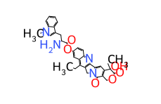 CCc1c2c(nc3ccc(OC(=O)[C@H](N)Cc4cn(C)c5ccccc45)cc13)-c1cc3c(c(=O)n1C2)COC(=O)[C@@]3(O)CC